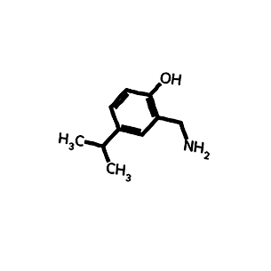 CC(C)c1ccc(O)c(CN)c1